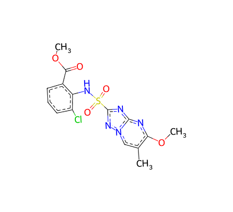 COC(=O)c1cccc(Cl)c1NS(=O)(=O)c1nc2nc(OC)c(C)cn2n1